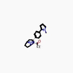 CCC(=O)[C@@H]1C2CCC(C[C@@H]1c1ccc(-c3cccn3C)cc1)N2